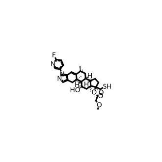 COCC(=O)O[C@]1(C(=O)S)CC[C@H]2[C@@H]3C[C@H](C)C4=Cc5c(cnn5-c5ccc(F)nc5)C[C@]4(C)[C@H]3[C@@H](O)C[C@@]21C